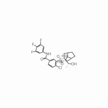 C[C@@H](O)[C@H](O)[C@]1(O)C2CCC1C[C@@H](S(=O)(=O)c1cc(C(=O)Nc3cc(F)c(F)c(F)c3)ccc1Cl)C2